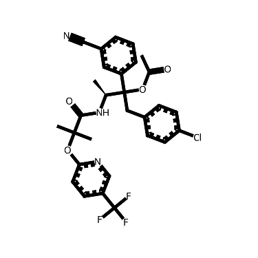 CC(=O)OC(Cc1ccc(Cl)cc1)(c1cccc(C#N)c1)[C@H](C)NC(=O)C(C)(C)Oc1ccc(C(F)(F)F)cn1